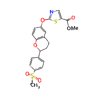 COC(=O)c1cnc(Oc2ccc3c(c2)CCC(c2ccc(S(C)(=O)=O)cc2)O3)s1